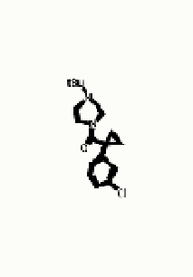 CC(C)(C)N1CCN(C(=O)C2(c3cccc(Cl)c3)CC2)CC1